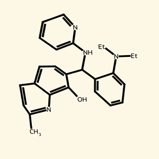 CCN(CC)c1ccccc1C(Nc1ccccn1)c1ccc2ccc(C)nc2c1O